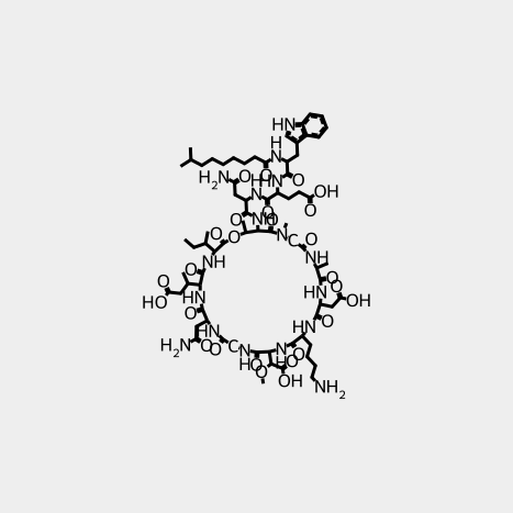 CCC(C)C1NC(=O)C(C(C)CC(=O)O)NC(=O)C(CC(N)=O)NC(=O)CNC(=O)C(C(OC)C(=O)O)NC(=O)C(CCCCN)NC(=O)C(CC(=O)O)NC(=O)C(C)NC(=O)CN(C)C(=O)C(NC(=O)C(CC(N)=O)NC(=O)C(CCC(=O)O)NC(=O)C(Cc2c[nH]c3ccccc23)NC(=O)CCCCCCC(C)C)C(C)OC1=O